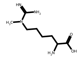 CN(CCCCC(N)C(=O)O)C(=N)N